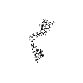 CCOc1ccc(-c2ccc(OCCCC(CC)CCCOC3CCC(c4ccc(OCC)c(C(F)(F)F)c4C(F)(F)F)CC3)cc2)c(C(F)(F)F)c1C(F)(F)F